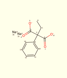 CCC(C(=O)[O-])(C(=O)[O-])c1ccccc1.[Na+].[Na+]